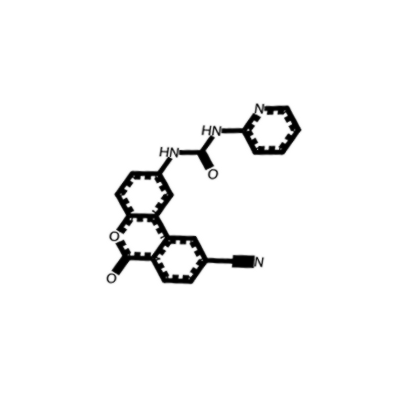 N#Cc1ccc2c(=O)oc3ccc(NC(=O)Nc4ccccn4)cc3c2c1